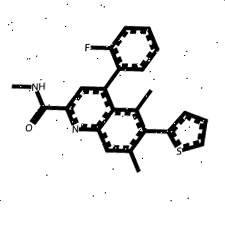 CNC(=O)c1cc(-c2ccccc2F)c2c(C)c(-c3cccs3)c(C)cc2n1